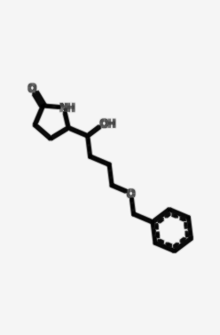 O=C1CCC(C(O)CCCOCc2ccccc2)N1